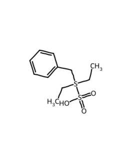 CCS(CC)(Cc1ccccc1)S(=O)(=O)O